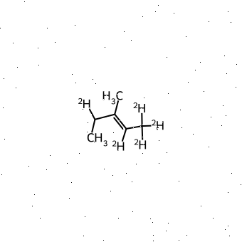 [2H]/C(=C(/C)C([2H])C)C([2H])([2H])[2H]